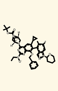 CC[S+]([O-])c1nc(N2C[C@@H]3C[C@H]2CN3C(=O)OC(C)(C)C)c2cc(C3CC3)c(-c3c(C)c(F)cc4c3cnn4C3CCCCO3)c(OCc3ccccc3)c2n1